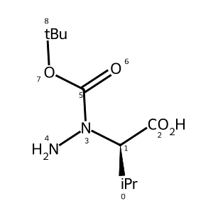 CC(C)[C@H](C(=O)O)N(N)C(=O)OC(C)(C)C